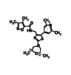 Cc1cc(-c2sc(N3C[C@@H](C)O[C@@H](C)C3)nc2CNC(=O)c2onc(C)c2C)cc(C)n1